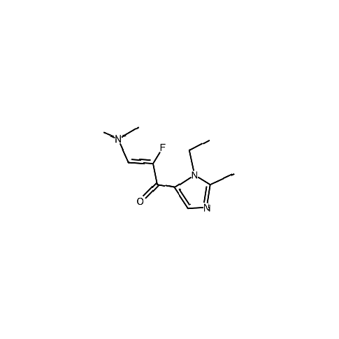 CCn1c(C(=O)C(F)=CN(C)C)cnc1C